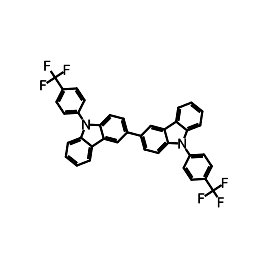 FC(F)(F)c1ccc(-n2c3ccccc3c3cc(-c4ccc5c(c4)c4ccccc4n5-c4ccc(C(F)(F)F)cc4)ccc32)cc1